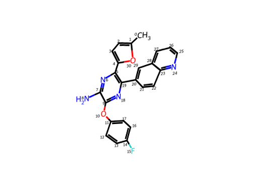 Cc1ccc(-c2nc(N)c(Oc3ccc(F)cc3)nc2-c2ccc3ncccc3c2)o1